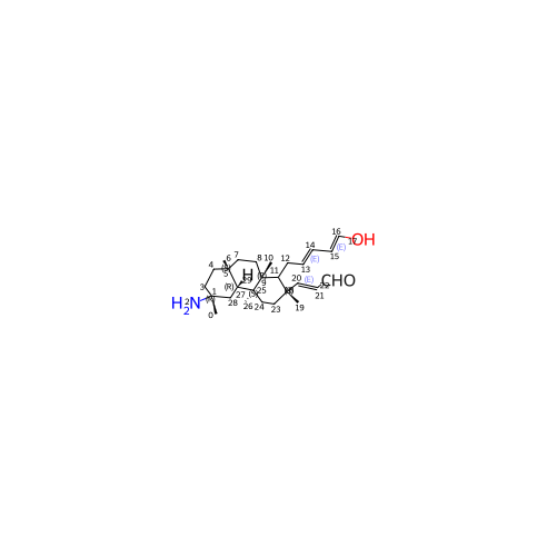 C[C@@]1(N)CC[C@]2(C)CC[C@]3(C)C(C/C=C/C=C/O)[C@](C)(/C=C/C=O)CC[C@@]3(C)[C@@H]2C1